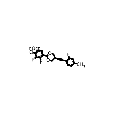 CCCCCCCCOc1ccc(C2OCC(C#Cc3ccc(C)cc3F)CO2)c(F)c1F